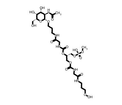 COP(=O)(O)OC[C@H](COC(=O)NCC(=O)NCCCOO)OC(=O)NCC(=O)NCCCO[C@@H]1O[C@H](CO)[C@H](O)[C@H](O)[C@H]1NC(C)=O